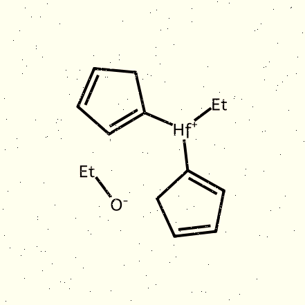 CC[O-].C[CH2][Hf+]([C]1=CC=CC1)[C]1=CC=CC1